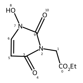 CCOC(=O)Cn1c(=O)ccn(O)c1=O